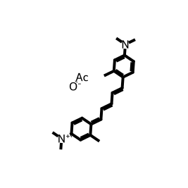 CC(=O)[O-].CC1=CC(=[N+](C)C)C=CC1=CC=CC=Cc1ccc(N(C)C)cc1C